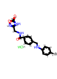 CC(C)(C)c1ccc(NCc2ccc(C(=O)NCc3noc(=O)[nH]3)cc2)cc1.Cl